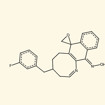 O/N=C1/C2=C(CCC(Cc3cccc(F)c3)C/C=N\2)C2(CO2)c2ccccc21